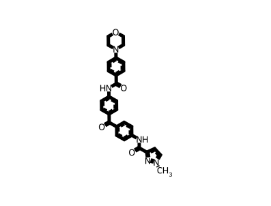 Cn1ccc(C(=O)Nc2ccc(C(=O)c3ccc(NC(=O)c4ccc(N5CCOCC5)cc4)cc3)cc2)n1